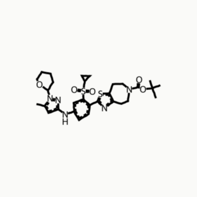 Cc1cc(Nc2ccc(-c3nc4c(s3)CCN(C(=O)OC(C)(C)C)CC4)c(S(=O)(=O)C3CC3)c2)nn1C1CCCCO1